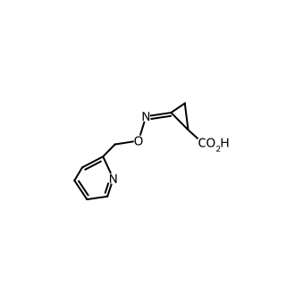 O=C(O)C1CC1=NOCc1ccccn1